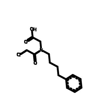 O=C(O)CN(CCCCc1ccccc1)C(=O)CCl